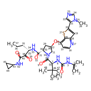 C=C(C)NC(=O)N[C@H](C(=O)N1C[C@H](Oc2ccnc3cc(-c4cncn4C)sc23)C[C@H]1C(=O)N[C@@H](CCC)C(=O)C(=O)NC1CC1)C(C)(C)C